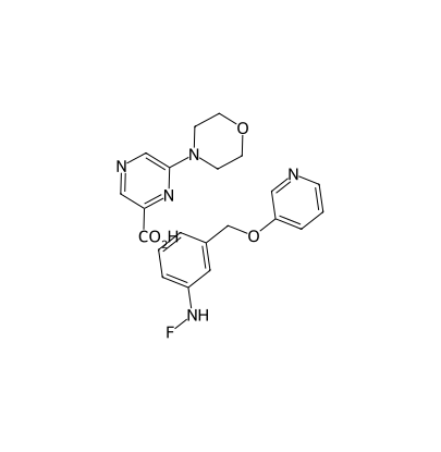 FNc1cccc(COc2cccnc2)c1.O=C(O)c1cncc(N2CCOCC2)n1